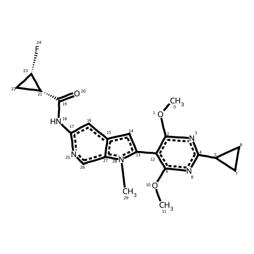 COc1nc(C2CC2)nc(OC)c1-c1cc2cc(NC(=O)[C@@H]3C[C@@H]3F)ncc2n1C